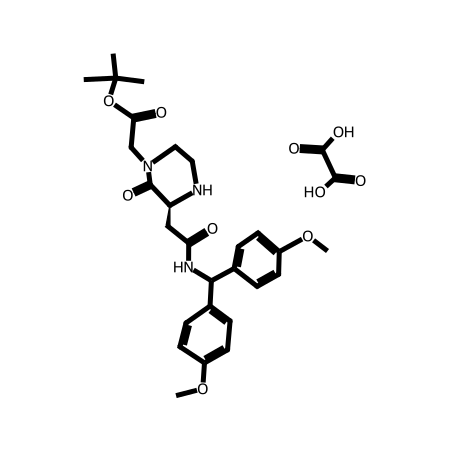 COc1ccc(C(NC(=O)C[C@@H]2NCCN(CC(=O)OC(C)(C)C)C2=O)c2ccc(OC)cc2)cc1.O=C(O)C(=O)O